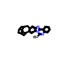 CC(C)(C)c1nc2ccccc2c2nc3cc4c(cc3n12)C1CC2CC3CC4CC32C1